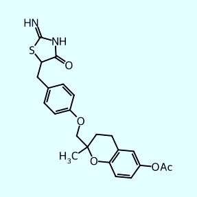 CC(=O)Oc1ccc2c(c1)CCC(C)(COc1ccc(CC3SC(=N)NC3=O)cc1)O2